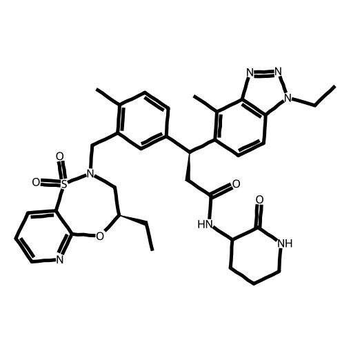 CC[C@@H]1CN(Cc2cc([C@H](CC(=O)NC3CCCNC3=O)c3ccc4c(nnn4CC)c3C)ccc2C)S(=O)(=O)c2cccnc2O1